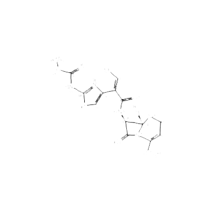 CCC=C(C(=O)N[C@@H]1C(=O)N2C(C(=O)O)=CCS[C@@H]12)c1csc(NC(=O)OC(C)(C)C)n1